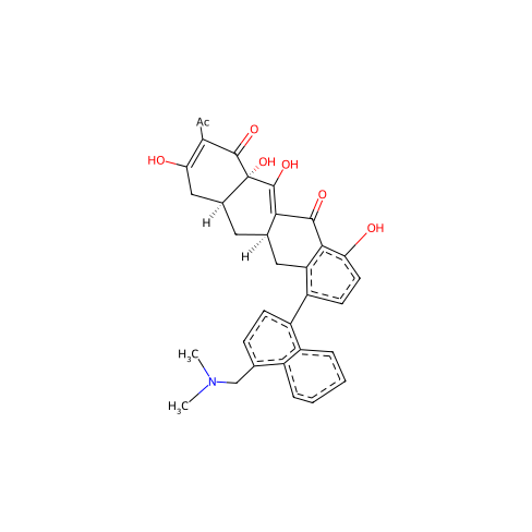 CC(=O)C1=C(O)C[C@@H]2C[C@@H]3Cc4c(-c5ccc(CN(C)C)c6ccccc56)ccc(O)c4C(=O)C3=C(O)[C@]2(O)C1=O